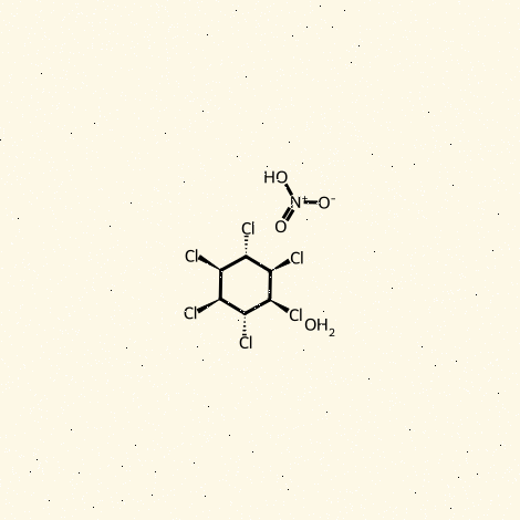 Cl[C@H]1[C@H](Cl)[C@@H](Cl)[C@@H](Cl)[C@H](Cl)[C@H]1Cl.O.O=[N+]([O-])O